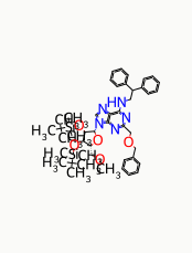 COC[C@H]1O[C@@H](n2cnc3c(NCC(c4ccccc4)c4ccccc4)nc(COCc4ccccc4)nc32)[C@H](O[Si](C)(C)C(C)(C)C)[C@@H]1O[Si](C)(C)C(C)(C)C